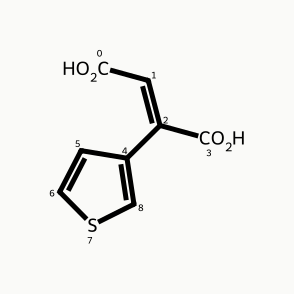 O=C(O)/C=C(/C(=O)O)c1ccsc1